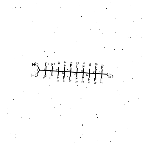 OC(O)C(F)(F)C(F)(F)C(F)(F)C(F)(F)C(F)(F)C(F)(F)C(F)(F)C(F)(F)C(F)(F)C(F)(F)C(F)(F)F